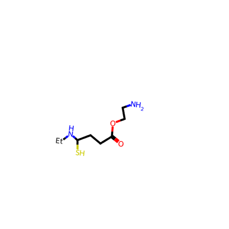 CCNC(S)CCC(=O)OCCN